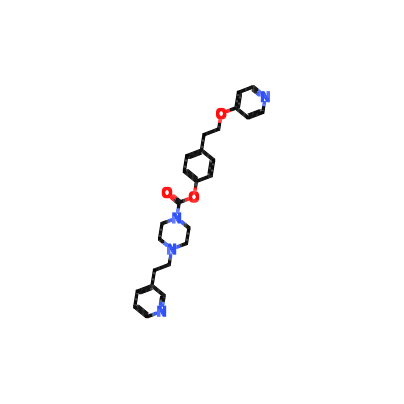 O=C(Oc1ccc(CCOc2ccncc2)cc1)N1CCN(CCc2cccnc2)CC1